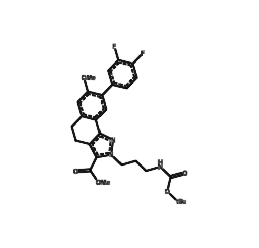 COC(=O)c1c2c(nn1CCCNC(=O)OC(C)(C)C)-c1cc(-c3ccc(F)c(F)c3)c(OC)cc1CC2